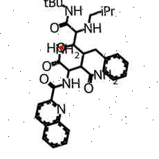 CC(C)CNC(C(=O)NC(C)(C)C)C(O)C(Cc1ccccc1)C(C(N)=O)C(NC(=O)c1ccc2ccccc2n1)C(N)=O